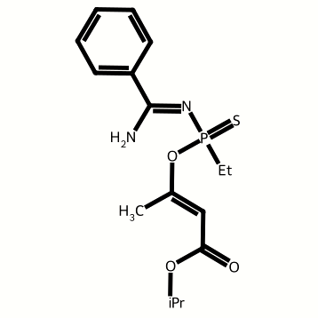 CCP(=S)(N=C(N)c1ccccc1)OC(C)=CC(=O)OC(C)C